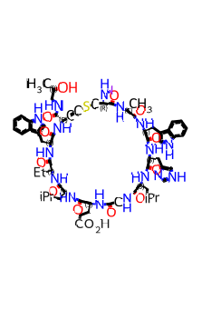 CC[C@@H]1NC(=O)[C@H](CC(C)C)NC(=O)[C@H](CCC(=O)O)NC(=O)CNC(=O)[C@H](CC(C)C)NC(=O)[C@H](Cc2c[nH]cn2)NC(=O)[C@H](Cc2c[nH]c3ccccc23)NC(=O)[C@H](C)NC(=O)[C@@H](NI)CSCC[C@@H](C(=O)NC[C@@H](C)O)NC(=O)[C@H](Cc2c[nH]c3ccccc23)NC1=O